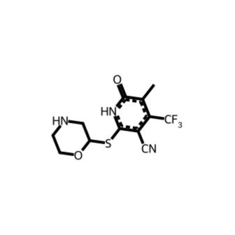 Cc1c(C(F)(F)F)c(C#N)c(SC2CNCCO2)[nH]c1=O